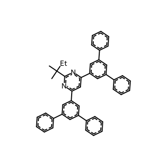 CCC(C)(C)c1nc(-c2cc(-c3ccccc3)cc(-c3ccccc3)c2)cc(-c2cc(-c3ccccc3)cc(-c3ccccc3)c2)n1